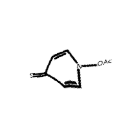 CC(=O)On1ccc(=S)cc1